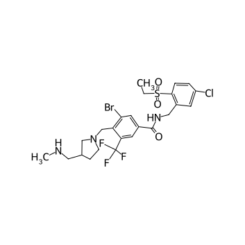 CCS(=O)(=O)c1ccc(Cl)cc1CNC(=O)c1cc(Br)c(CN2CCC(CNC)C2)c(C(F)(F)F)c1